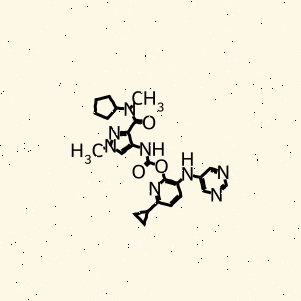 CN(C(=O)c1nn(C)cc1NC(=O)Oc1nc(C2CC2)ccc1Nc1cncnc1)C1CCCC1